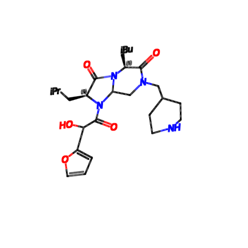 CCC(C)[C@H]1C(=O)N(CC2CCNCC2)CC2N1C(=O)[C@H](CC(C)C)N2C(=O)C(O)c1ccco1